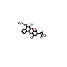 CO/N=C(/C(=O)O)c1ccccc1C(OC)Oc1c(Cl)cc(C2CC2(Cl)Cl)cc1Cl